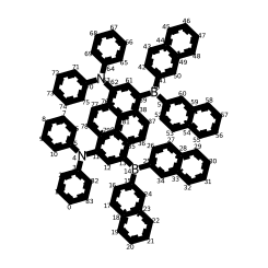 c1ccc(N(c2ccccc2)c2cc(B(c3ccc4ccccc4c3)c3ccc4ccccc4c3)c3ccc4c(B(c5ccc6ccccc6c5)c5ccc6ccccc6c5)cc(N(c5ccccc5)c5ccccc5)c5ccc2c3c45)cc1